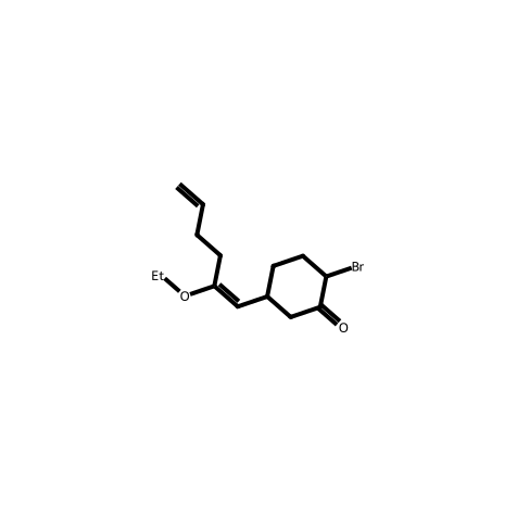 C=CCC/C(=C\C1CCC(Br)C(=O)C1)OCC